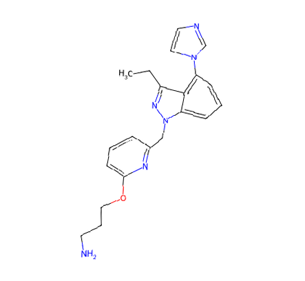 CCc1nn(Cc2cccc(OCCCN)n2)c2cccc(-n3ccnc3)c12